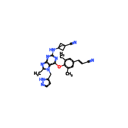 Cc1cc(/C=C/C#N)cc(C)c1Oc1nc(NC23CC(C#N)(C2)C3)nc2nc(C)n(Cc3ccn[nH]3)c12